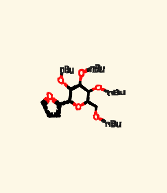 CCCCOCC1OC(c2ccco2)C(OCCCC)C(OCCCC)C1OCCCC